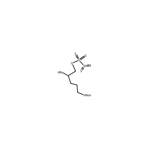 CCCCCCCCCCCCC(CCCC)COS(=S)(=S)[SH](=S)=S